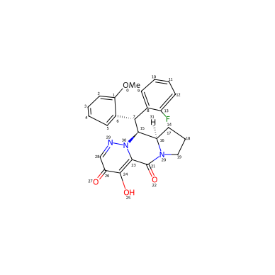 COc1ccccc1[C@H](c1ccccc1F)[C@H]1[C@H]2CCCN2C(=O)c2c(O)c(=O)cnn21